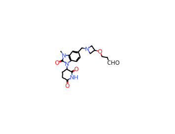 Cn1c(=O)n(C2CCC(=O)NC2=O)c2ccc(CN3CC(OCCC=O)C3)cc21